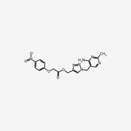 Cc1ncc(Cn2cc(COC(=O)COc3ccc([N+](=O)[O-])cc3)nn2)c(N)n1